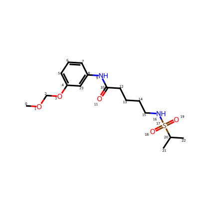 COCOc1cccc(NC(=O)CCCCNS(=O)(=O)C(C)C)c1